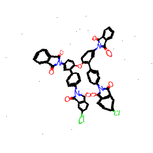 O=C1c2ccccc2C(=O)N1c1ccc(Oc2ccc(N3C(=O)c4ccccc4C3=O)cc2-c2ccc(N3C(=O)c4ccc(Cl)cc4C3=O)cc2)c(-c2ccc(N3C(=O)c4ccc(Cl)cc4C3=O)cc2)c1